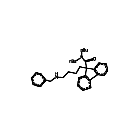 CCCCN(CCCC)C(=O)C1(CCCCNCc2ccccc2)c2ccccc2-c2ccccc21